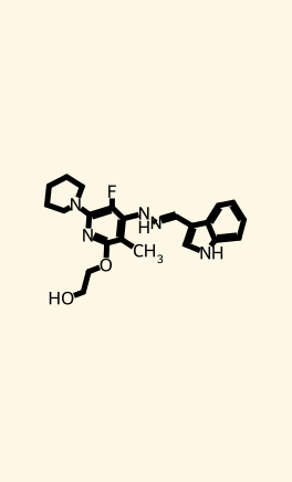 Cc1c(OCCO)nc(N2CCCCC2)c(F)c1N/N=C/c1c[nH]c2ccccc12